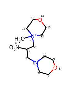 C[N+]1(CC(CN2CCOCC2)[N+](=O)[O-])CCOCC1